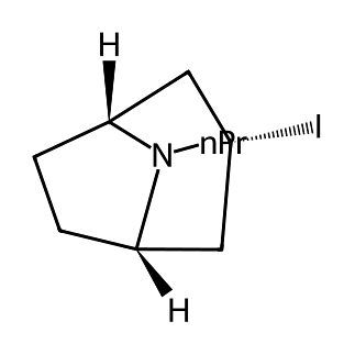 CCCN1[C@@H]2CC[C@H]1C[C@@H](I)C2